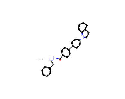 O=C(N[C@@H](Cc1ccccc1)C(=O)O)c1ccc(-c2ccc(-n3ccc4ccccc43)cc2)cc1